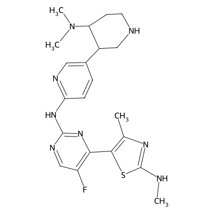 CNc1nc(C)c(-c2nc(Nc3ccc(C4CNCCC4N(C)C)cn3)ncc2F)s1